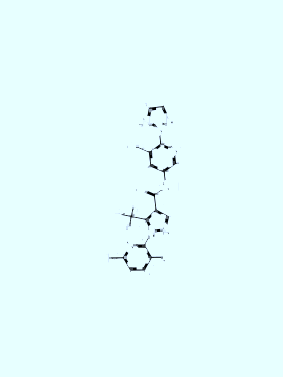 O=C(Nc1cnc(-n2nccn2)c(Cl)c1)c1cnn(-c2nc(Cl)ccc2Cl)c1C(F)(F)F